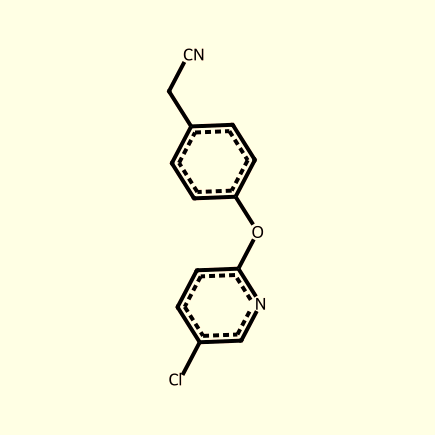 N#CCc1ccc(Oc2ccc(Cl)cn2)cc1